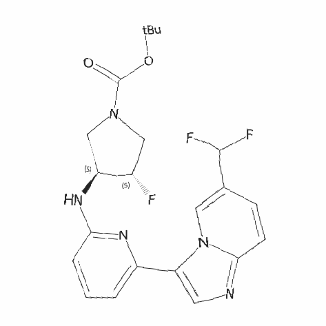 CC(C)(C)OC(=O)N1C[C@H](Nc2cccc(-c3cnc4ccc(C(F)F)cn34)n2)[C@@H](F)C1